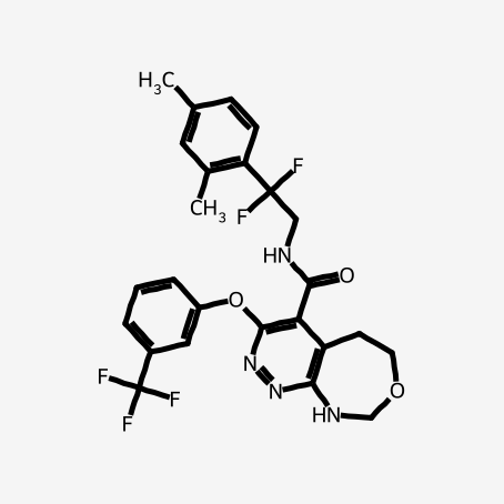 Cc1ccc(C(F)(F)CNC(=O)c2c(Oc3cccc(C(F)(F)F)c3)nnc3c2CCOCN3)c(C)c1